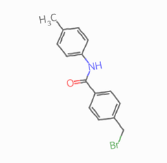 Cc1ccc(NC(=O)c2ccc(CBr)cc2)cc1